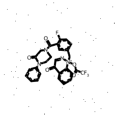 O=C1C=N[N+](Cc2ccc(F)c(C(=O)N3CCN(c4ccccc4)C(=O)C3)c2)(OC(=O)C(F)(F)F)c2ccccc21